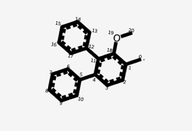 [CH2]c1ccc(-c2ccccc2)c(-c2ccccc2)c1OC